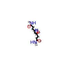 CNC(=O)CCc1cc(CCC(=O)NC)on1